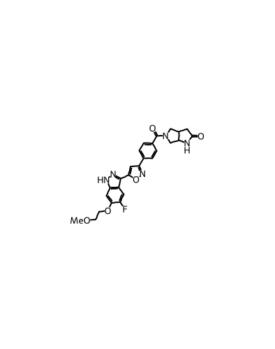 COCCOc1cc2[nH]nc(-c3cc(-c4ccc(C(=O)N5CC6CC(=O)NC6C5)cc4)no3)c2cc1F